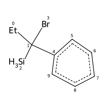 CCC([SiH3])(Br)c1ccccc1